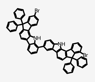 Brc1ccc2c(c1)C(c1ccccc1)(c1ccccc1)c1ccc3c([nH]c4c(-c5ccc6[nH]c7c8c(ccc7c6c5)C(c5ccccc5)(c5ccccc5)c5c(Br)cccc5-8)cccc43)c1-2